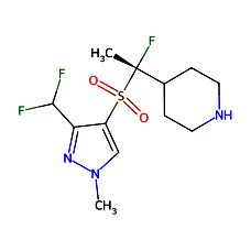 Cn1cc(S(=O)(=O)[C@](C)(F)C2CCNCC2)c(C(F)F)n1